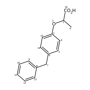 CC(Oc1ccc(Cc2ccccc2)cc1)C(=O)O